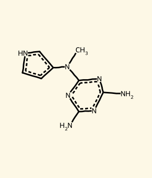 CN(c1cc[nH]c1)c1nc(N)nc(N)n1